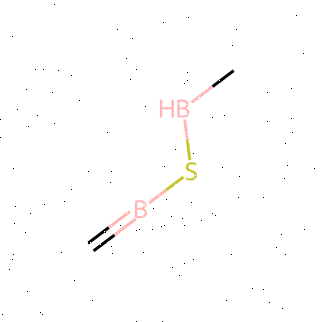 C=BSBC